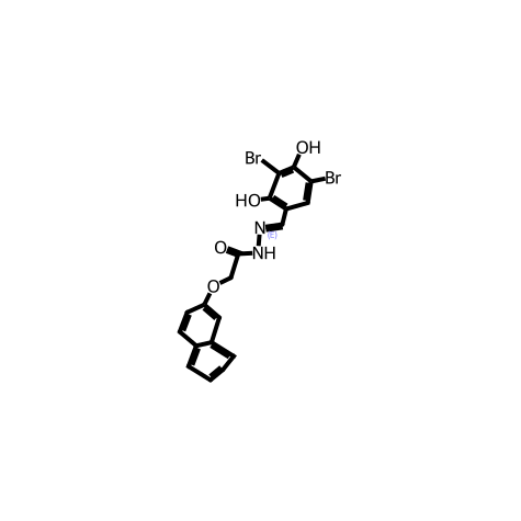 O=C(COc1ccc2ccccc2c1)N/N=C/c1cc(Br)c(O)c(Br)c1O